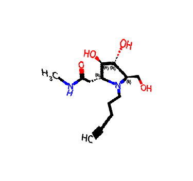 C#CCCCN1[C@H](CO)[C@@H](O)[C@H](O)[C@H]1CC(=O)NC